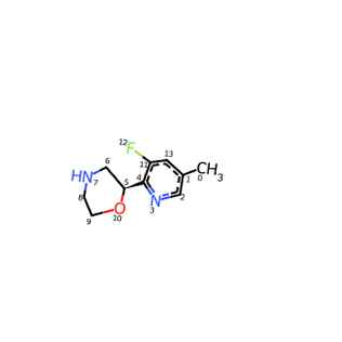 Cc1cnc([C@@H]2CNCCO2)c(F)c1